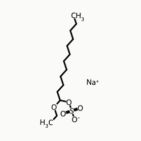 CCCCCCCCCCCC(OCC)OS(=O)(=O)[O-].[Na+]